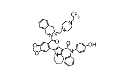 O=C(c1cc(-c2cc3c(cc2C(=O)N2Cc4ccccc4C[C@H]2CN2CCN(CC(F)(F)F)CC2)OCO3)n2c1CCCC2)N(c1ccccc1)c1ccc(O)cc1